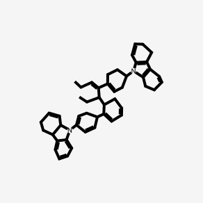 CC/C=C(/C1=CCC(n2c3c(c4c2CCC=C4)CCC=C3)CC1)C(CC)C1CC=CC=C1C1C=CC(N2c3ccccc3C3CCC=CC32)=CC1